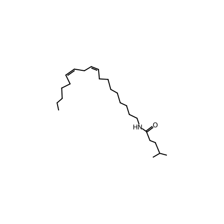 CCCCC/C=C\C/C=C\CCCCCCCCNC(=O)CCC(C)C